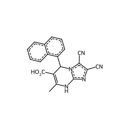 CC1=C(C(=O)O)C(c2cccc3ccccc23)n2c(nc(C#N)c2C#N)N1